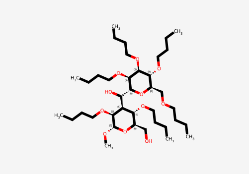 CCCCOC[C@H]1O[C@H](C(O)[C@@H]2[C@H](OCCCC)[C@@H](OC)O[C@H](CO)[C@H]2OCCCC)[C@@H](OCCCC)[C@@H](OCCCC)[C@@H]1OCCCC